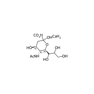 CC(=O)N[C@@H]1[C@@H](O)CC(O)(C(=O)O)O[C@H]1C(O)C(O)CO.[CaH2]